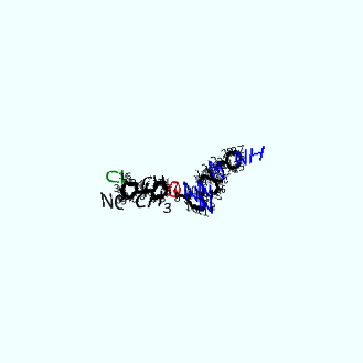 CC(C)(c1ccc(OCc2ccnc(N3CCC4(CC3)CN(CC3CCNCC3)C4)n2)cc1)c1cc(Cl)cc(C#N)c1